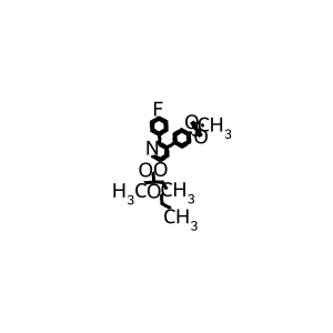 CCCCOC(CC)(CC)C(=O)Oc1cnc(-c2ccc(F)cc2)c(-c2ccc(S(C)(=O)=O)cc2)c1